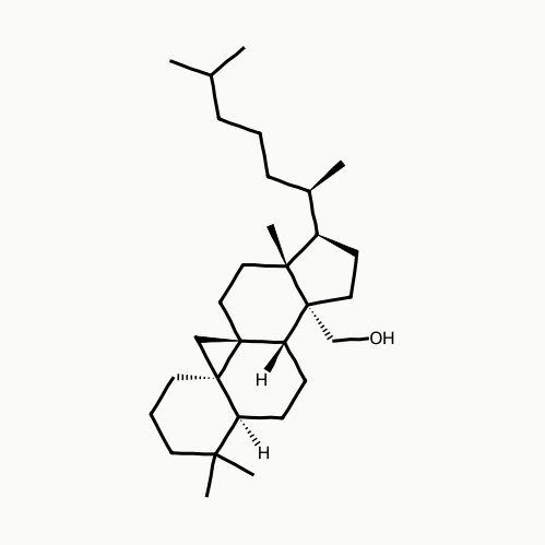 CC(C)CCC[C@@H](C)[C@H]1CC[C@@]2(CO)[C@@H]3CC[C@H]4C(C)(C)CCC[C@@]45C[C@@]35CC[C@]12C